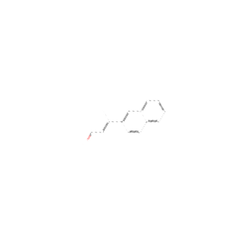 CC(=CC=O)c1ccc2ccccc2c1